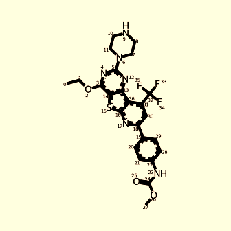 CCOc1nc(N2CCNCC2)nc2c1sc1nc(-c3ccc(NC(=O)OC)cc3)cc(C(F)(F)F)c12